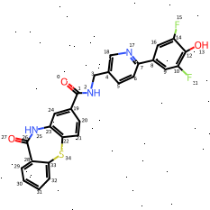 O=C(NCc1ccc(-c2cc(F)c(O)c(F)c2)nc1)c1ccc2c(c1)NC(=O)c1ccccc1S2